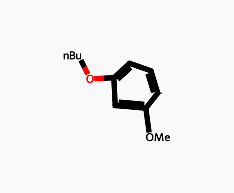 CCCCOc1cc[c]c(OC)c1